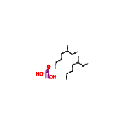 CCCCC(C)CC.CCCCC(C)CC.O=[PH](O)O